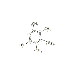 [C]#Cc1c(C)c(C)cc(C)c1C